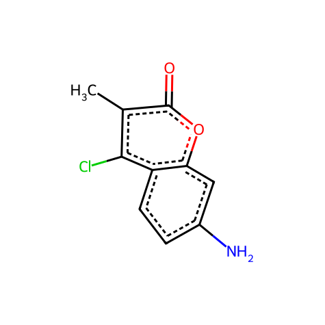 Cc1c(Cl)c2ccc(N)cc2oc1=O